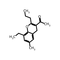 CCCC1=C(C(C)=O)Cc2cc(C)cc(CC)c2O1